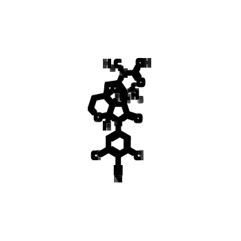 CN(C(=O)O)[C@@H]1C[C@]23CCO[C@@H]4[C@H]2[C@@H](C(=O)N4c2cc(Cl)c(C#N)c(Cl)c2)[C@@]1(C)O3